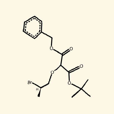 C[C@@H](Br)COC(C(=O)OCc1ccccc1)C(=O)OC(C)(C)C